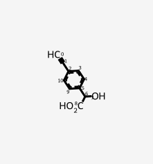 C#Cc1ccc(C(O)C(=O)O)cc1